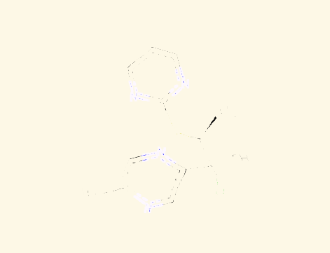 Cc1cnc([C@](C)(Cl)[C@H](C)Sc2ncccn2)cn1